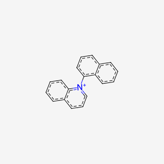 c1ccc2c(-[n+]3cccc4ccccc43)cccc2c1